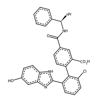 CCC[C@@H](NC(=O)c1ccc(-c2c(Cl)cccc2-c2nc3cc(O)ccc3[nH]2)c(C(=O)O)c1)c1ccccc1